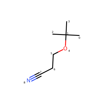 CC(C)(C)OCCC#N